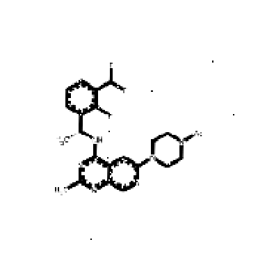 CC(=O)N1CCN(c2cc3c(N[C@H](C)c4cccc(C(F)F)c4F)nc(C)nc3cn2)CC1